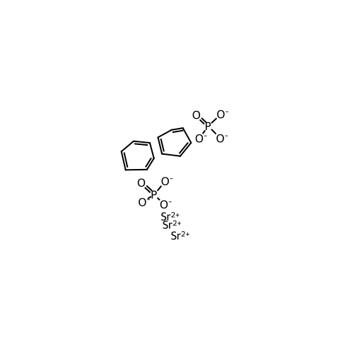 O=P([O-])([O-])[O-].O=P([O-])([O-])[O-].[Sr+2].[Sr+2].[Sr+2].c1ccccc1.c1ccccc1